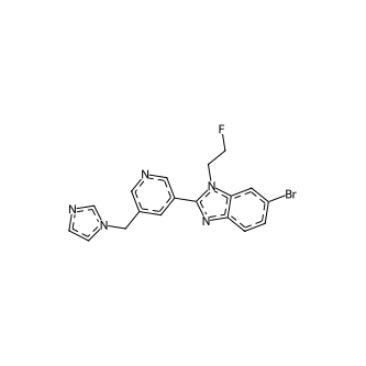 FCCn1c(-c2cncc(Cn3ccnc3)c2)nc2ccc(Br)cc21